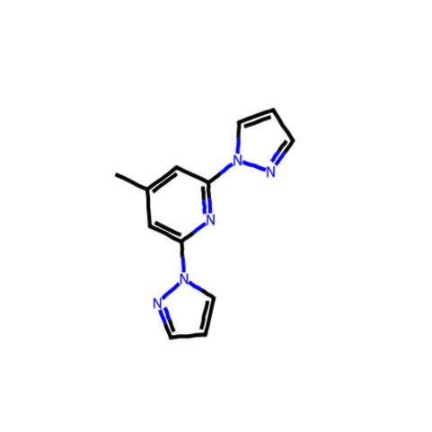 Cc1cc(-n2cccn2)nc(-n2cccn2)c1